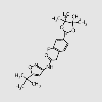 CC(C)(C)c1cc(NC(=O)Cc2ccc(B3OC(C)(C)C(C)(C)O3)cc2F)no1